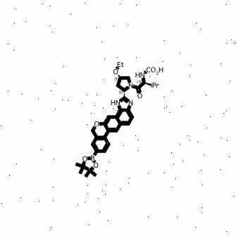 CCO[C@H]1C[C@@H](c2nc3ccc4cc5c(cc4c3[nH]2)OCc2cc(B3OC(C)(C)C(C)(C)O3)ccc2-5)N(C(=O)[C@@H](NC(=O)O)C(C)C)C1